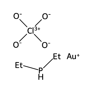 CCPCC.[Au+].[O-][Cl+3]([O-])([O-])[O-]